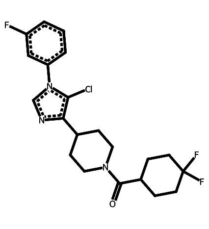 O=C(C1CCC(F)(F)CC1)N1CCC(c2ncn(-c3cccc(F)c3)c2Cl)CC1